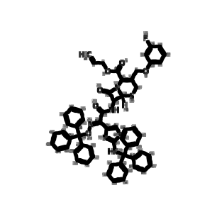 C=CCOC(=O)C1=C(COc2cccc(F)c2)CS[C@@H]2C(NC(=O)/C(=N/OC(c3ccccc3)(c3ccccc3)c3ccccc3)c3csc(NC(c4ccccc4)(c4ccccc4)c4ccccc4)n3)C(=O)N12